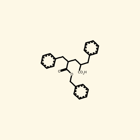 O=C(O)C(Cc1ccccc1)CC(Cc1ccccc1)C(=O)OCc1ccccc1